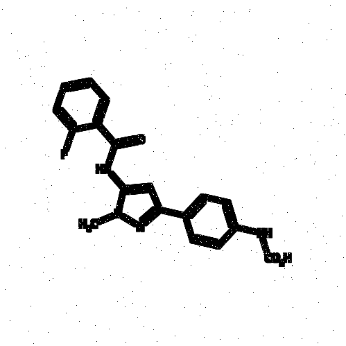 Cn1nc(-c2ccc(NC(=O)O)cc2)cc1NC(=O)c1ccccc1F